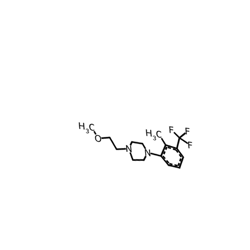 COCCN1CCN(c2cccc(C(F)(F)F)c2C)CC1